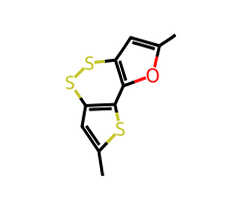 Cc1cc2c(o1)-c1sc(C)cc1SS2